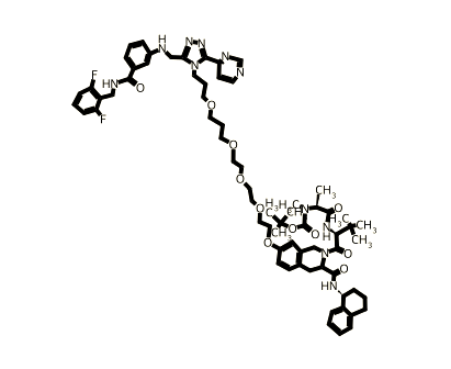 C[C@@H](C(=O)N[C@H](C(=O)N1Cc2cc(OCCOCCOCCOCCCOCCCn3c(CNc4cccc(C(=O)NCc5c(F)cccc5F)c4)nnc3-c3ccncn3)ccc2CC1C(=O)N[C@@H]1CCCc2ccccc21)C(C)(C)C)N(C)C(=O)OC(C)(C)C